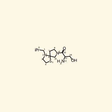 CC(C)CN1CCSC12CCN(C(=O)C(N)CO)C2